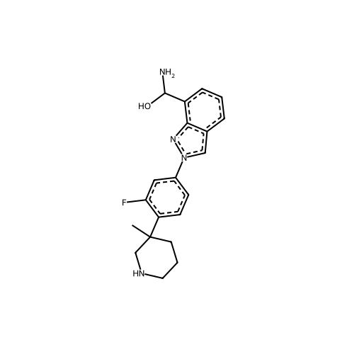 CC1(c2ccc(-n3cc4cccc(C(N)O)c4n3)cc2F)CCCNC1